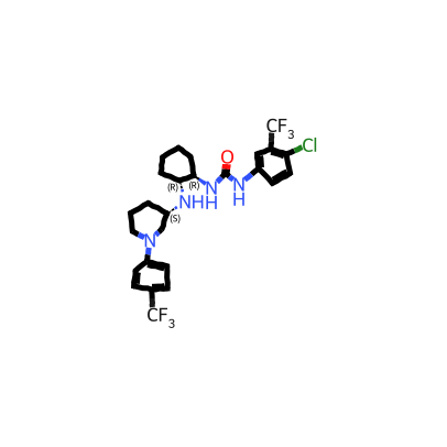 O=C(Nc1ccc(Cl)c(C(F)(F)F)c1)N[C@@H]1CCCC[C@H]1N[C@H]1CCCN(c2ccc(C(F)(F)F)cc2)C1